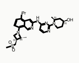 CC(C)c1ccc(N2C[C@H](CS(C)(=O)=O)[C@H]2C)c2cnc(Nc3ccnc(N4CC[C@H](O)C[C@@H]4C)n3)cc12